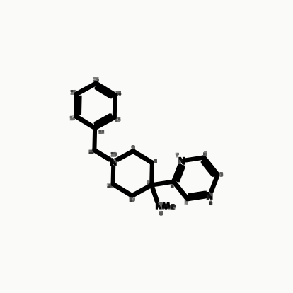 CNC1(c2cnccn2)CCN(Cc2ccccc2)CC1